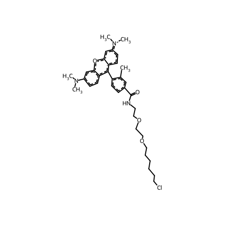 Cc1cc(C(=O)NCCOCCOCCCCCCCl)ccc1-c1c2ccc(=[N+](C)C)cc-2oc2cc(N(C)C)ccc12